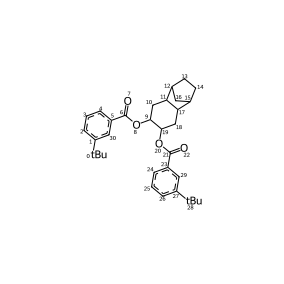 CC(C)(C)c1cccc(C(=O)OC2CC3C4CCC(C4)C3CC2OC(=O)c2cccc(C(C)(C)C)c2)c1